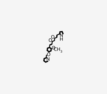 COc1cc(OCc2ccccn2)ccc1C=CC(=O)CC(=O)C=Cc1ccc[nH]1